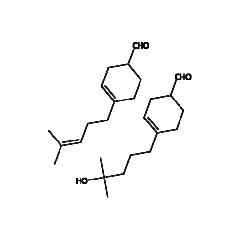 CC(C)(O)CCCC1=CCC(C=O)CC1.CC(C)=CCCC1=CCC(C=O)CC1